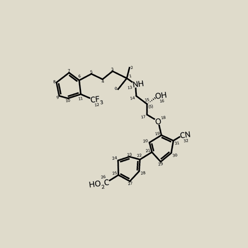 CC(C)(CCCc1ccccc1C(F)(F)F)NC[C@H](O)COc1cc(-c2ccc(C(=O)O)cc2)ccc1C#N